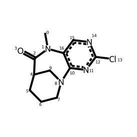 CN1C(=O)C2CCCN(C2)c2nc(Cl)ncc21